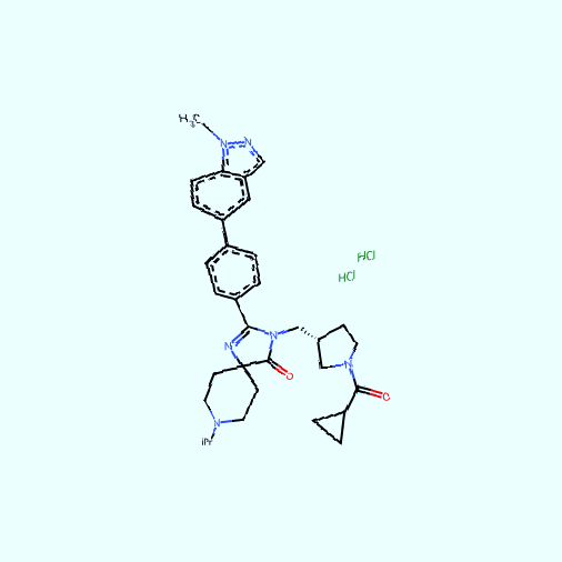 CC(C)N1CCC2(CC1)N=C(c1ccc(-c3ccc4c(cnn4C)c3)cc1)N(C[C@@H]1CCN(C(=O)C3CC3)C1)C2=O.Cl.Cl